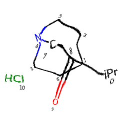 CC(C)C12CCN(CC1)CC2=O.Cl